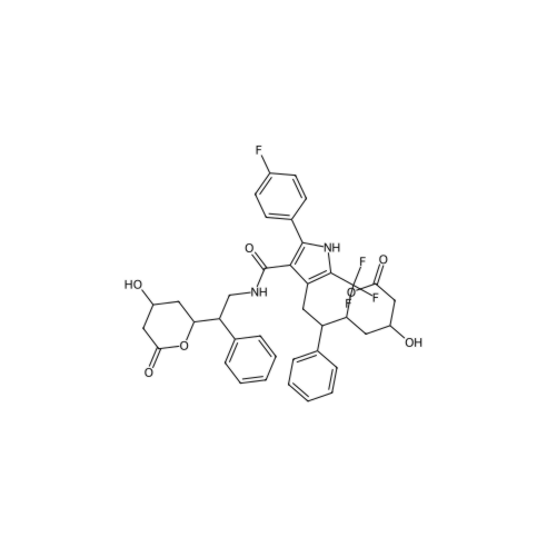 O=C1CC(O)CC(C(CNC(=O)c2c(-c3ccc(F)cc3)[nH]c(C(F)(F)F)c2CC(c2ccccc2)C2CC(O)CC(=O)O2)c2ccccc2)O1